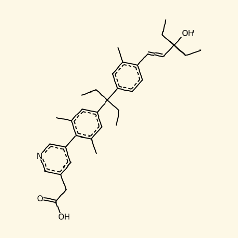 CCC(O)(/C=C/c1ccc(C(CC)(CC)c2cc(C)c(-c3cncc(CC(=O)O)c3)c(C)c2)cc1C)CC